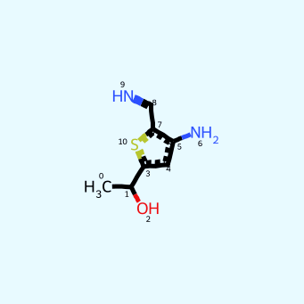 CC(O)c1cc(N)c(C=N)s1